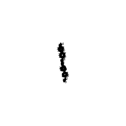 CCC[C@H]1CC[C@H](c2ccc(C#CC=C[C@H]3CC[C@H](c4ccc(CC)cc4)CC3)cc2)CC1